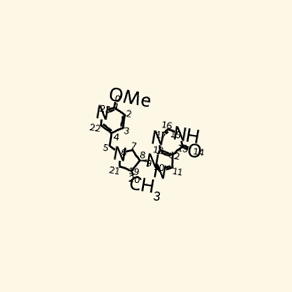 COc1ccc(CN2C[C@@H](n3ncc4c(=O)[nH]cnc43)[C@@H](C)C2)cn1